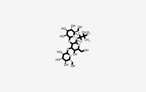 CC(C)(C)C(C)(C)OC1OC(CO)C(O)C(OC2O[C@H](CO)[C@@H](O)[C@H](O)[C@@H]2O)C1OC1O[C@H](CO)[C@@H](O)[C@H](O)[C@@H]1O